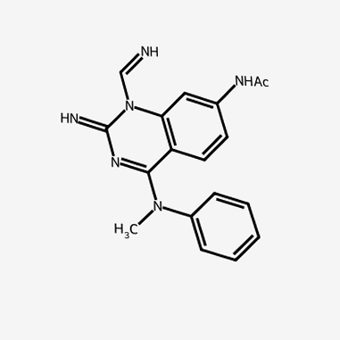 CC(=O)Nc1ccc2c(N(C)c3ccccc3)nc(=N)n(C=N)c2c1